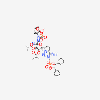 COC(=O)[C@H](C)N[P@](=O)(OC[C@@]1(C#N)O[C@@H](c2ccc3c(=N)n(COP(=O)(OCc4ccccc4)OCc4ccccc4)cnn23)[C@H](OC(=O)C(C)C)[C@@H]1OC(=O)C(C)C)Oc1ccccc1